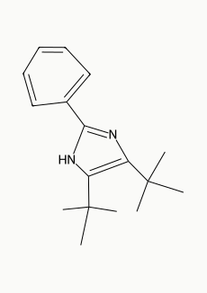 CC(C)(C)c1nc(-c2ccccc2)[nH]c1C(C)(C)C